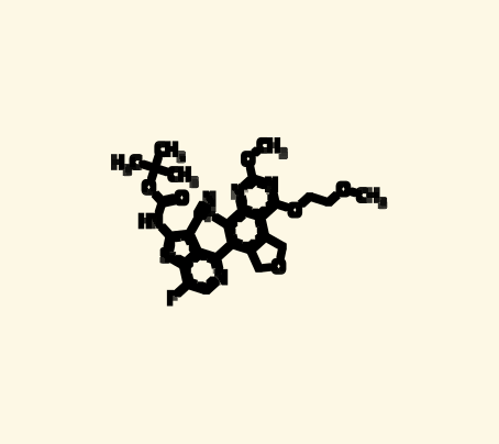 COCCOc1nc(OC)nc2c(F)c(-c3ncc(F)c4sc(NC(=O)OC(C)(C)C)c(C#N)c34)c3c(c12)COC3